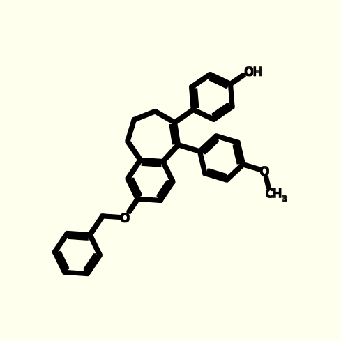 COc1ccc(C2=C(c3ccc(O)cc3)CCCc3cc(OCc4ccccc4)ccc32)cc1